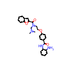 CN(C)CN(CCOc1ccc(C(=O)Nc2ccccc2N)cc1)C(=O)c1cc2ccccc2o1